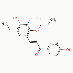 CCCOc1c(/C=C/C(=O)c2ccc(O)cc2)cc(CC)c(O)c1CC